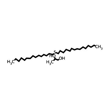 CC(O)CO.CCCCCCCCCCCCCCCSCCCCCCCCCCCCCCC